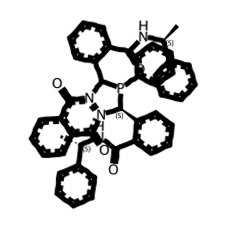 C[C@H](NC(=O)c1ccccc1C1n2c(=O)c3ccccc3c(=O)n2[C@H](c2ccccc2C(=O)N[C@@H](C)c2ccccc2)P1c1ccccc1)c1ccccc1